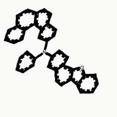 c1ccc(N(c2ccc3c(ccc4c5ccccc5oc34)c2)c2ccc3ccc4ccc5ccccc5c4c3c2)cc1